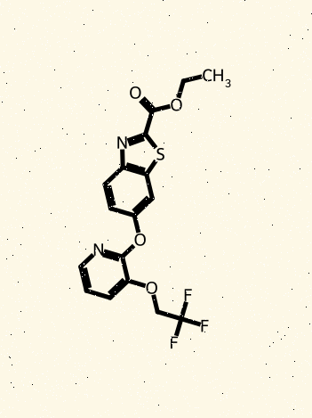 CCOC(=O)c1nc2ccc(Oc3ncccc3OCC(F)(F)F)cc2s1